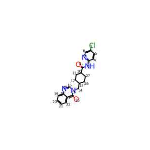 O=C(Nc1ccc(Cl)cn1)C1CCC(Cn2cnc3ccccc3c2=O)CC1